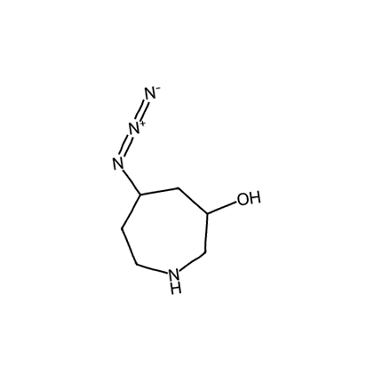 [N-]=[N+]=NC1CCNCC(O)C1